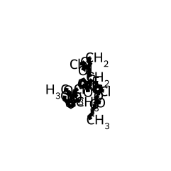 C=CCN(CC=C)C(=O)C(Cl)Cl.CCCCCOC(=O)COc1cc(N2C(=O)C3=C(CCCC3)C2=O)c(F)cc1Cl.CCc1cccc(CC)c1N(COC)C(=O)CCl